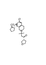 CC(C)(CC(=O)[C@@H]1CCOC1)N1CCc2cc(Cl)cc([C@@H]3CCCN3C(=O)O)c2C1